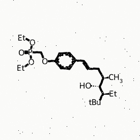 CCOP(=O)(COc1ccc(/C=C/C[C@@H](C)[C@@H](O)[C@@H](CC)C(C)(C)C)cc1)OCC